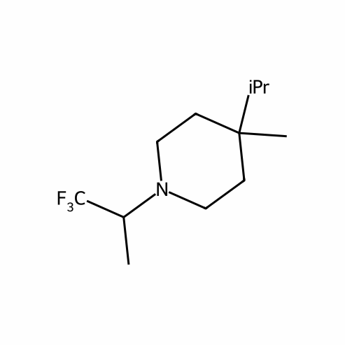 CC(N1CCC(C)(C(C)C)CC1)C(F)(F)F